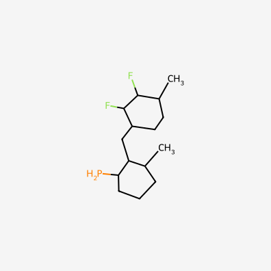 CC1CCC(CC2C(C)CCCC2P)C(F)C1F